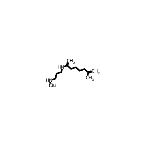 C=C(C)CCCCC(=C)NCCCNC(C)(C)C